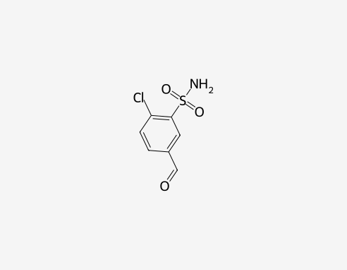 NS(=O)(=O)c1cc(C=O)ccc1Cl